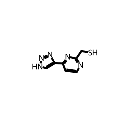 SCc1nccc(-c2c[nH]nn2)n1